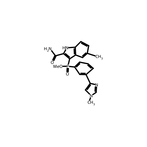 COP(=O)(c1cccc(-c2cn(C)cn2)c1)c1c(C(N)=O)[nH]c2ccc(C)cc12